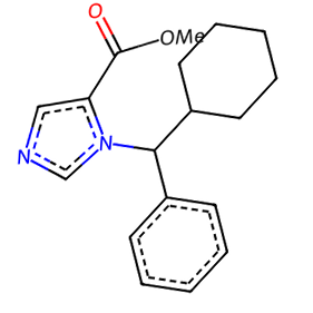 COC(=O)c1cncn1C(c1ccccc1)C1CCCCC1